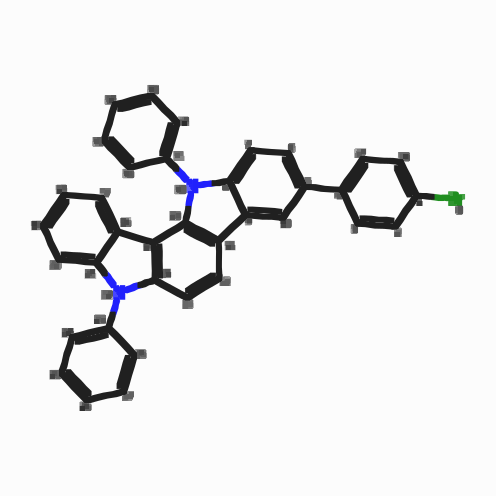 Brc1ccc(-c2ccc3c(c2)c2ccc4c(c5ccccc5n4-c4ccccc4)c2n3-c2ccccc2)cc1